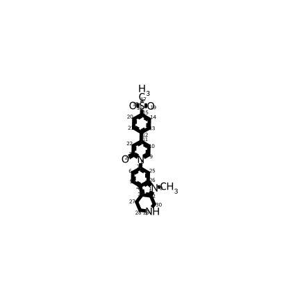 Cn1c2c(c3ccc(-n4ccc(-c5ccc(S(C)(=O)=O)cc5)cc4=O)cc31)CCNC2